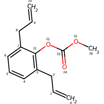 C=CCc1cccc(CC=C)c1OC(=O)OC